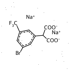 O=C([O-])C(C(=O)[O-])c1cc(Br)cc(C(F)(F)F)c1.[Na+].[Na+]